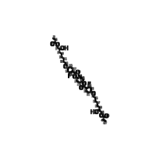 C=CC(=O)OCC(O)CCCCCCOc1ccc(C(=O)Oc2ccc(OC(=O)c3ccc(OCCCCCCC(O)COC(=O)C=C)cc3F)nn2)c(F)c1